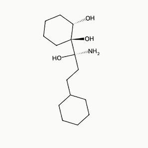 N[C@@](O)(CCC1CCCCC1)[C@]1(O)CCCC[C@@H]1O